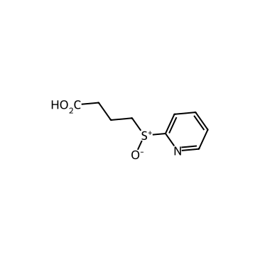 O=C(O)CCC[S+]([O-])c1ccccn1